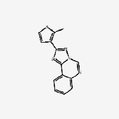 Cc1sccc1-c1nc2c3ccccc3ncn2n1